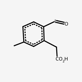 Cc1ccc(I=O)c(CC(=O)O)c1